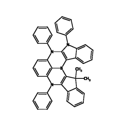 CC1(C)C2=C(c3ccccc31)N(c1ccccc1)c1cccc3c1B2c1c(n(-c2ccccc2)c2ccccc12)N3c1ccccc1